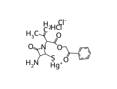 C=C(C)C(C(=O)OCC(=O)c1ccccc1)N1C(=O)C(N)C1[S][Hg+].Cl.[Cl-]